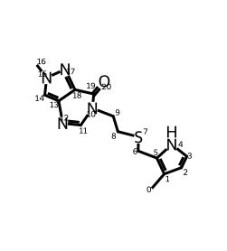 Cc1cc[nH]c1CSCCn1cnc2cn(C)nc2c1=O